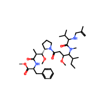 C=C(C)CNC(C(=O)N(C)C(C(C)CC)C(CC(=O)N1CCC[C@H]1C(OC)C(C)C(=O)NC(Cc1ccccc1)C(=O)OC)OC)C(C)C